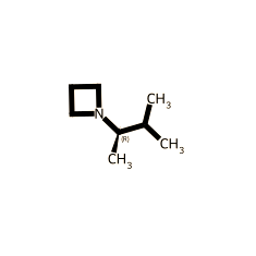 CC(C)[C@@H](C)N1CCC1